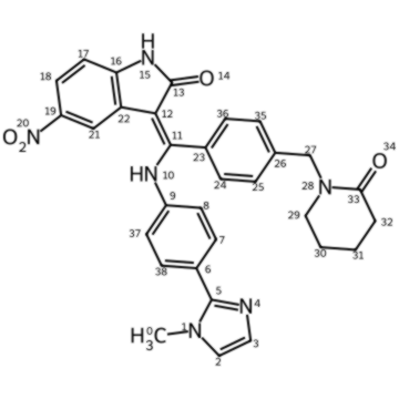 Cn1ccnc1-c1ccc(NC(=C2C(=O)Nc3ccc([N+](=O)[O-])cc32)c2ccc(CN3CCCCC3=O)cc2)cc1